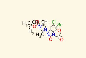 C[C@@H]1CN(c2nc(=O)n3c4c(c(Br)c(Cl)cc24)OCC2(COC2)C3)[C@@H](C)CN1C(=O)OC(C)(C)C